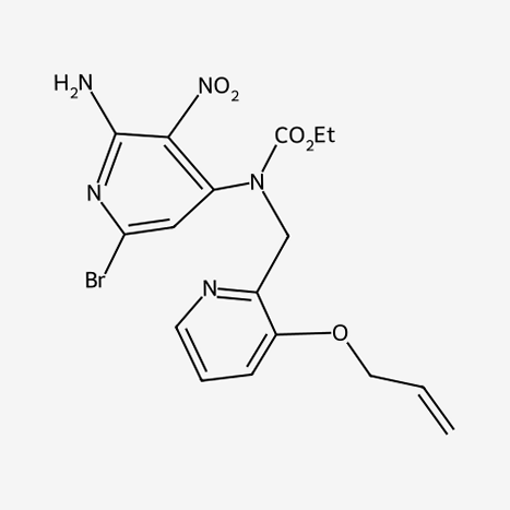 C=CCOc1cccnc1CN(C(=O)OCC)c1cc(Br)nc(N)c1[N+](=O)[O-]